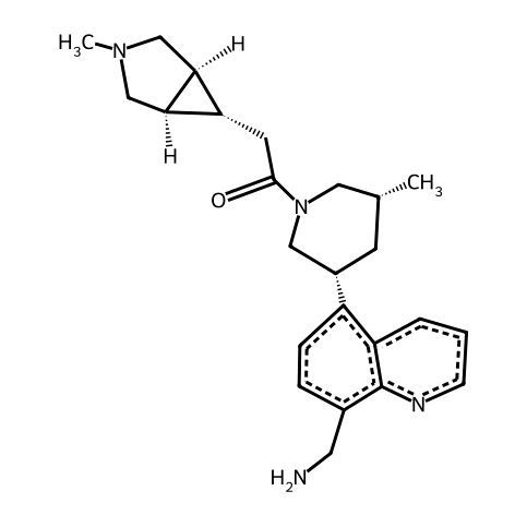 C[C@@H]1C[C@H](c2ccc(CN)c3ncccc23)CN(C(=O)C[C@@H]2[C@H]3CN(C)C[C@@H]23)C1